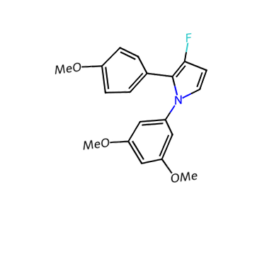 COc1ccc(-c2c(F)ccn2-c2cc(OC)cc(OC)c2)cc1